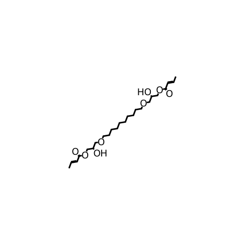 CC=CC(=O)OCC(O)COCCCCCCCCCCOCC(O)COC(=O)C=CC